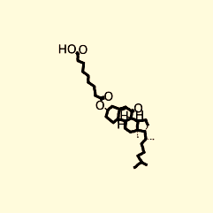 CC(C)CCC[C@@H](C)[C@H]1CC[C@H]2[C@@H]3C(=O)C=C4C[C@@H](OC(=O)CCCCCCCC(=O)O)CC[C@]4(C)[C@H]3CC[C@]12C